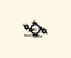 COC(OC)C12Cc3cc(-c4ccc(C)cc4)c([nH]3)/C=C3N=C(/C=c4/cc(-c5ccc(C)cc5)/c([nH]4)=C/C(=N1)C(C)(C)C2)CC\3(C)C